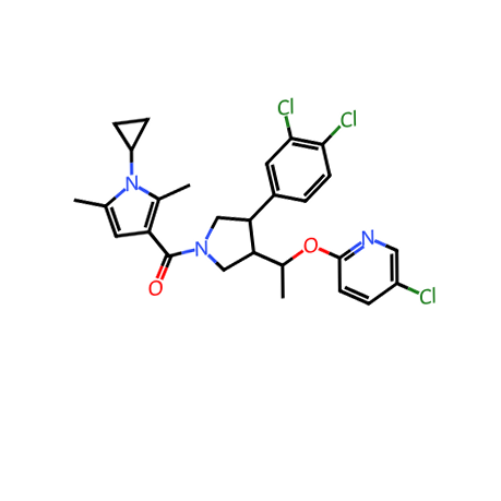 Cc1cc(C(=O)N2CC(c3ccc(Cl)c(Cl)c3)C(C(C)Oc3ccc(Cl)cn3)C2)c(C)n1C1CC1